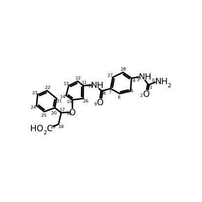 NC(=O)Nc1ccc(C(=O)Nc2cccc(OC(CC(=O)O)c3ccccc3)c2)cc1